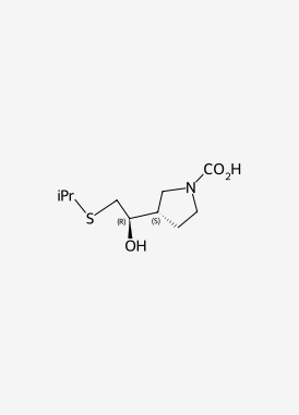 CC(C)SC[C@H](O)[C@H]1CCN(C(=O)O)C1